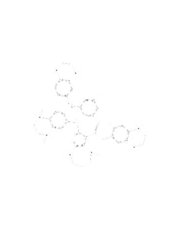 Cc1cc2c3c(c1)N(c1ccc4c(c1)C(C)(C)CCC4(C)C)c1cc4c(cc1B3c1sc3c(c1C(Cc1cc5c(cc1C)C(C)(C)CCC5(C)C)=C2)C(C)(C)CCCC3(C)C)C(C)(C)CCC4(C)C